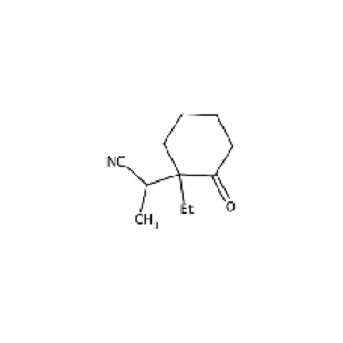 CCC1(C(C)C#N)CCCCC1=O